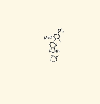 COc1cc(C(F)(F)F)cc(C)c1-c1ccc2nc([C@H]3CCCCN3C)[nH]c2n1